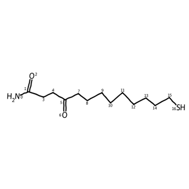 NC(=O)CCC(=O)CCCCCCCCCS